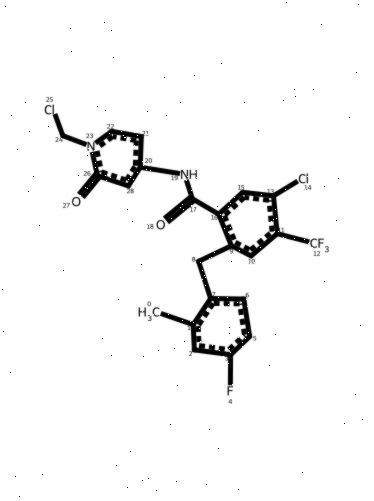 Cc1cc(F)ccc1Cc1cc(C(F)(F)F)c(Cl)cc1C(=O)Nc1ccn(CCl)c(=O)c1